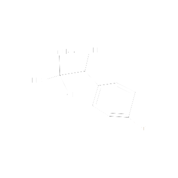 CCCCCCC(C)(C)C(C)c1ccc(Br)cc1